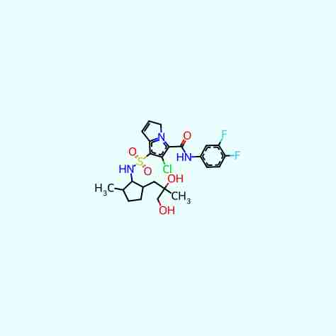 CC1CCC(CC(C)(O)CO)C1NS(=O)(=O)c1c(Cl)c(C(=O)Nc2ccc(F)c(F)c2)n2c1C=CC2